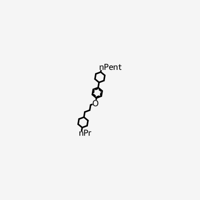 CCCCCC1CCC(c2ccc(OCCCC3CCC(CCC)CC3)cc2)CC1